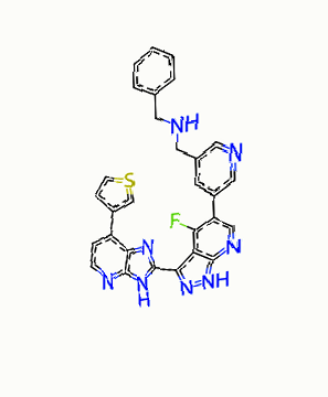 Fc1c(-c2cncc(CNCc3ccccc3)c2)cnc2[nH]nc(-c3nc4c(-c5ccsc5)ccnc4[nH]3)c12